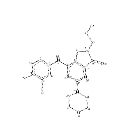 CCCN1Cc2c(Nc3ccc(C)c(F)c3)nc(N3CCOCC3)nc2C1=O